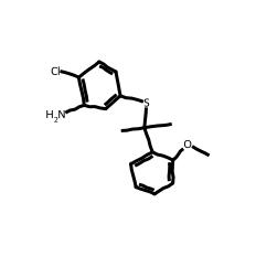 COc1ccccc1C(C)(C)Sc1ccc(Cl)c(N)c1